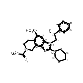 COC(=O)N1CCc2c(C(=O)O)cc3c(nc(N4CCCCC4)n3C[C@H](C)c3ccccc3)c2C1